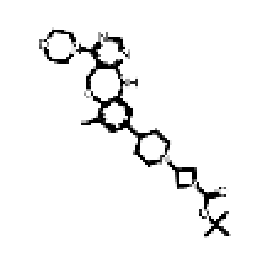 CC(C)(C)OC(=O)N1CC(N2CCC(c3cc(F)c4c(c3)Nc3ncnc(N5CCOCC5)c3CO4)CC2)C1